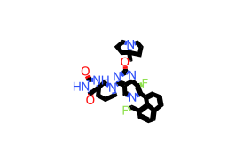 O=C1NC(=O)C2(CCCN(c3nc(OCC45CCCN4CCC5)nc4c(F)c(-c5cccc6cccc(CF)c56)ncc34)C2)N1